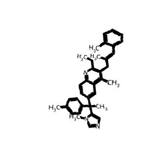 CCc1nc2ccc(C(C)(c3ccc(C)cc3)c3cncn3C)cc2c(C)c1C/C(C)=C/c1ccccc1C